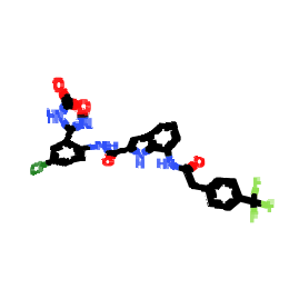 O=C(Cc1ccc(C(F)(F)F)cc1)Nc1cccc2cc(C(=O)Nc3ccc(Cl)cc3-c3noc(=O)[nH]3)[nH]c12